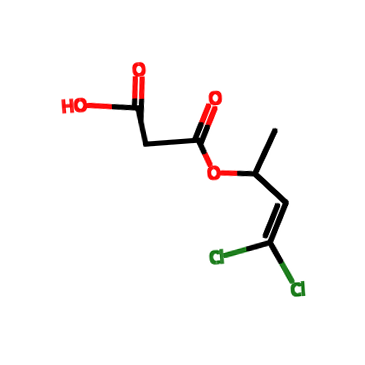 CC(C=C(Cl)Cl)OC(=O)CC(=O)O